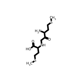 CSCCC(N)C(=O)CNC(CCSC)C(=O)O